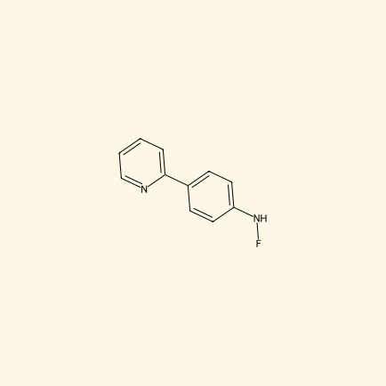 FNc1ccc(-c2ccccn2)cc1